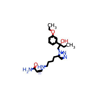 CCOc1cccc([C@@](O)(CC)Cn2nncc2CCCCN/C=C\C(N)=O)c1